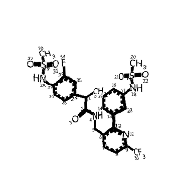 CC(C(=O)NCc1ccc(C(F)(F)F)nc1-c1cccc(NS(C)(=O)=O)c1)c1ccc(NS(C)(=O)=O)c(F)c1